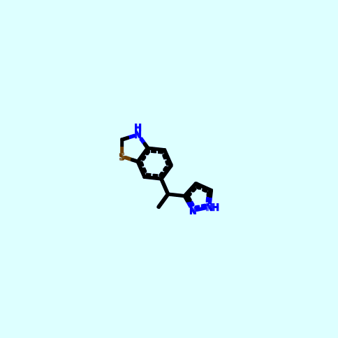 CC(c1ccc2c(c1)SCN2)c1cc[nH]n1